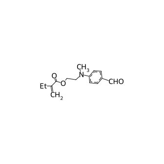 C=C(CC)C(=O)OCCN(C)c1ccc(C=O)cc1